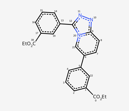 CCOC(=O)c1cccc(-c2ccc3nnc(-c4cccc(C(=O)OCC)c4)n3c2)c1